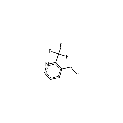 [CH2]Cc1cccnc1C(F)(F)F